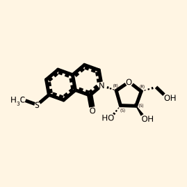 CSc1ccc2ccn([C@@H]3O[C@H](CO)[C@@H](O)[C@@H]3O)c(=O)c2c1